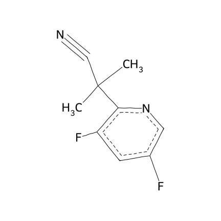 CC(C)(C#N)c1ncc(F)cc1F